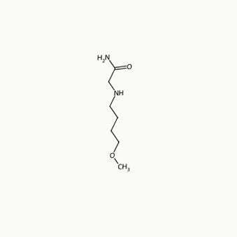 COCCCCNCC(N)=O